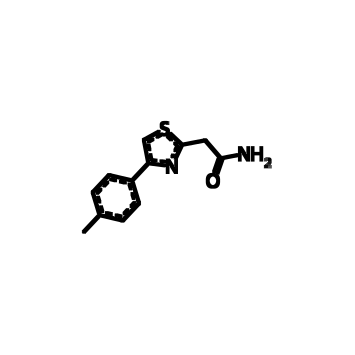 Cc1ccc(-c2csc(CC(N)=O)n2)cc1